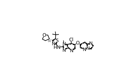 Cn1c(Nc2nc([C@@H]3CCOC3)c(C(C)(C)C)s2)nc2ncc(Oc3cnn4ccnc4c3)c(Cl)c21